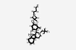 CC(C)(F)CN1CCc2c([nH]c3ccccc23)[C@H]1c1c(F)cc(OC2(C)CN(CCCF)C2)cc1F